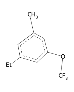 CCc1[c]c(C)cc(OC(F)(F)F)c1